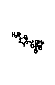 BC1CCC(COP(=O)(O)OC)O1